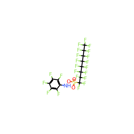 O=S(=O)(ONc1c(F)c(F)c(F)c(F)c1F)C(F)(F)C(F)(F)C(F)(F)C(F)(F)C(F)(F)C(F)(F)C(F)(F)C(F)(F)F